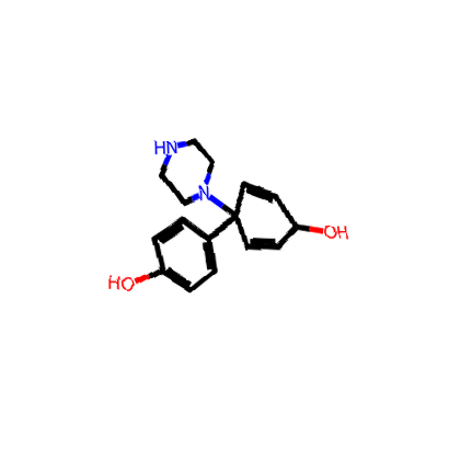 Oc1ccc(C2(N3CCNCC3)C=CC(O)C=C2)cc1